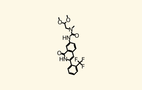 COC(CN(C)C(=O)Nc1ccc2cc(-c3ccccc3C(F)(F)F)[nH]c(=O)c2c1)OC